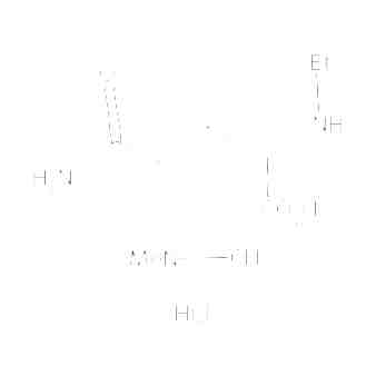 CCNC(CCC(N)=O)C(=O)O.CNC.Cl